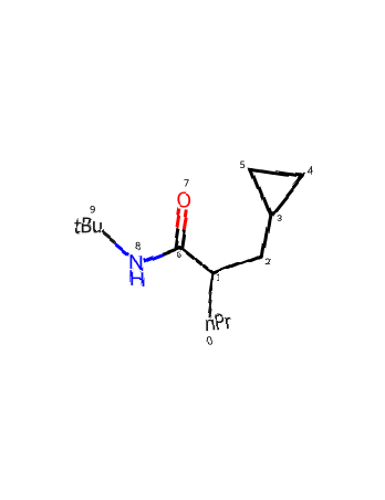 CCCC(CC1CC1)C(=O)NC(C)(C)C